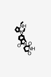 CCN[C@H]1CCC[C@H]1N(CC)c1ccc2c(c1)CN(C1CCC(=O)NC1=O)C2=O